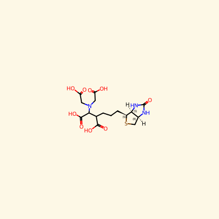 O=C(O)CN(CC(=O)O)C(C(=O)O)C(CCC[C@@H]1SC[C@@H]2NC(=O)N[C@@H]21)C(=O)O